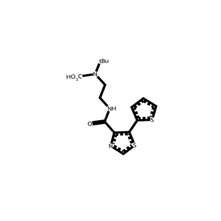 CC(C)(C)N(CCNC(=O)c1ncsc1-c1cccs1)C(=O)O